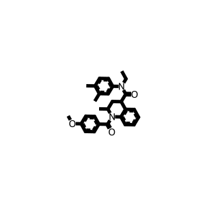 CCN(C(=O)C1CC(C)N(C(=O)c2ccc(OC)cc2)c2ccccc21)c1ccc(C)c(C)c1